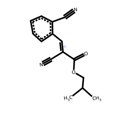 CC(C)COC(=O)/C(C#N)=C/c1ccccc1C#N